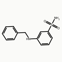 NS(=O)(=O)c1cccc(NCc2ccccc2)c1